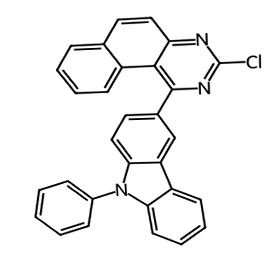 Clc1nc(-c2ccc3c(c2)c2ccccc2n3-c2ccccc2)c2c(ccc3ccccc32)n1